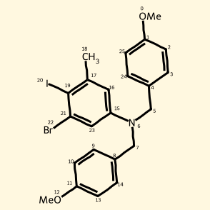 COc1ccc(CN(Cc2ccc(OC)cc2)c2cc(C)c(I)c(Br)c2)cc1